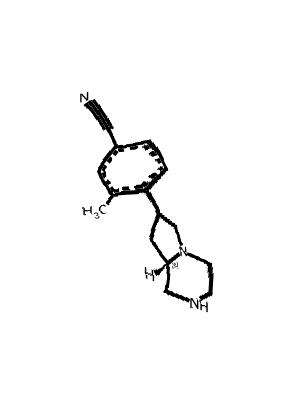 Cc1cc(C#N)ccc1C1C[C@H]2CNCCN2C1